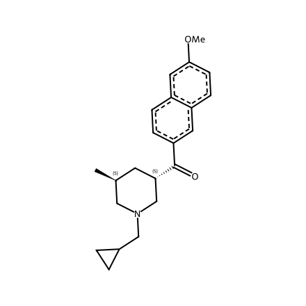 COc1ccc2cc(C(=O)[C@H]3C[C@H](C)CN(CC4CC4)C3)ccc2c1